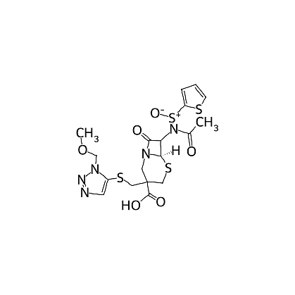 COCn1nncc1SCC1(C(=O)O)CS[C@@H]2C(N(C(C)=O)[S+]([O-])c3cccs3)C(=O)N2C1